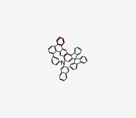 c1ccc(-c2ccccc2-c2c(-c3ccccc3)cccc2-c2cccc(N(c3ccc4c(c3)C3(c5ccccc5-c5ccccc53)c3ccccc3-4)c3ccc4ccccc4c3)c2)cc1